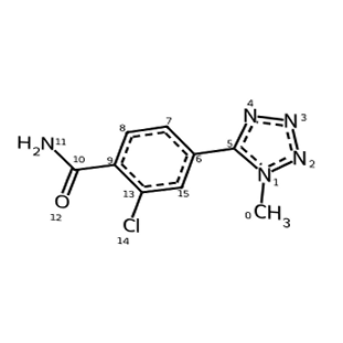 Cn1nnnc1-c1ccc(C(N)=O)c(Cl)c1